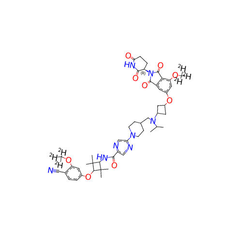 [2H]C([2H])([2H])Oc1cc(OC2C(C)(C)C(NC(=O)c3cnc(N4CCC(CN(C(C)C)C5CC(Oc6cc(OC([2H])([2H])[2H])c7c(c6)C(=O)N([C@@H]6CCC(=O)NC6=O)C7=O)C5)CC4)cn3)C2(C)C)ccc1C#N